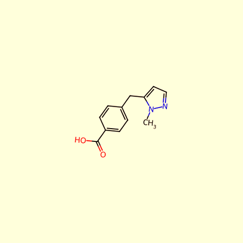 Cn1nccc1Cc1ccc(C(=O)O)cc1